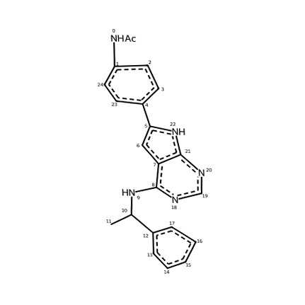 CC(=O)Nc1ccc(-c2cc3c(NC(C)c4ccccc4)ncnc3[nH]2)cc1